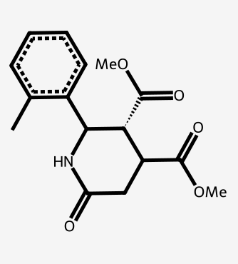 COC(=O)C1CC(=O)NC(c2ccccc2C)[C@@H]1C(=O)OC